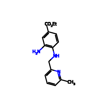 CCOC(=O)c1ccc(NCc2cccc(C)n2)c(N)c1